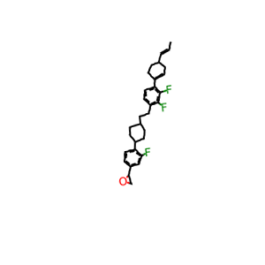 C/C=C/C1CC=C(c2ccc(CCC3CCC(c4ccc(C5CO5)cc4F)CC3)c(F)c2F)CC1